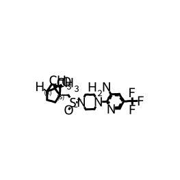 CC1(C)[C@@H]2CC[C@@]1(C[S+]([O-])N1CCN(c3ncc(C(F)(F)F)cc3N)CC1)C(=O)C2